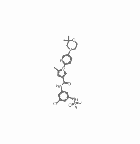 Cc1cc(C(=O)Nc2cc(Cl)cc(NS(C)(=O)=O)c2)cn1-c1ccc(N2CCOC(C)(C)C2)cn1